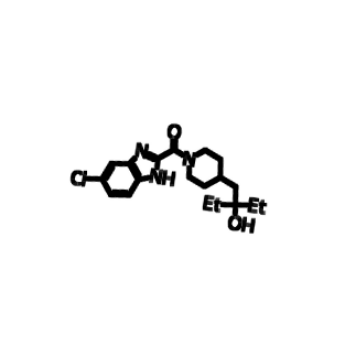 CCC(O)(CC)CC1CCN(C(=O)c2nc3cc(Cl)ccc3[nH]2)CC1